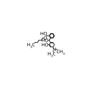 CCCCCCOC(O)c1ccccc1C(O)C1=CCC(N(CC)CC)C=C1O